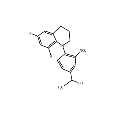 O=[N+]([O-])c1cc(C(O)C(F)(F)F)ccc1N1CCCc2cc(F)cc(F)c21